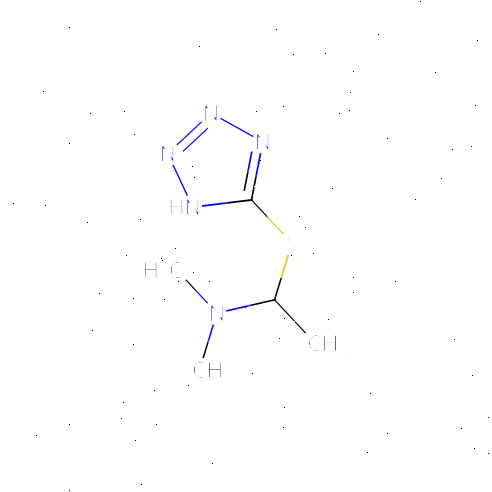 CC(Sc1nnn[nH]1)N(C)C